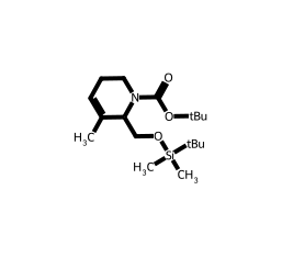 CC1=CCCN(C(=O)OC(C)(C)C)C1CO[Si](C)(C)C(C)(C)C